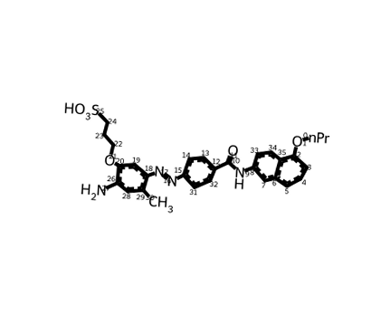 CCCOc1cccc2cc(NC(=O)c3ccc(N=Nc4cc(OCCCS(=O)(=O)O)c(N)cc4C)cc3)ccc12